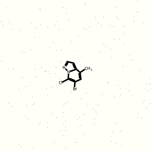 Cc1cc(Br)c(Cl)n2nccc12